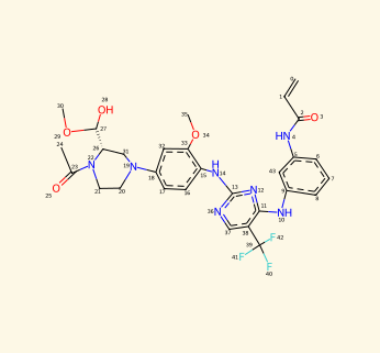 C=CC(=O)Nc1cccc(Nc2nc(Nc3ccc(N4CCN(C(C)=O)[C@H](C(O)OC)C4)cc3OC)ncc2C(F)(F)F)c1